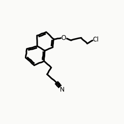 N#CCCc1cccc2ccc(OCCCCl)cc12